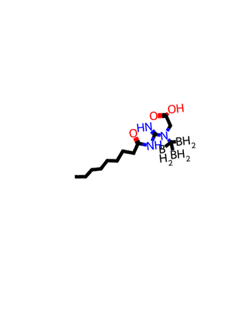 BC(B)(B)N(CC(=O)O)C(=N)NC(=O)CCCCCCCC